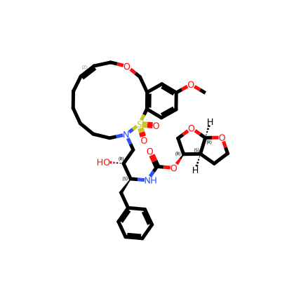 COc1ccc2c(c1)COC/C=C\CCCCCN(C[C@@H](O)[C@H](Cc1ccccc1)NC(=O)O[C@H]1CO[C@H]3OCC[C@H]31)S2(=O)=O